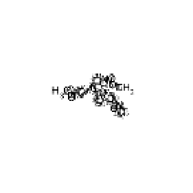 CCOC(=O)c1ccc2c(n1)CCCC2N(CCc1ccc(C(=O)OC)cc1)CCc1ccccc1OCc1ccc(-c2nc3ccccc3o2)cc1